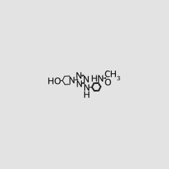 CC(=O)Nc1cccc(Nc2ncnc(N3CCC(O)CC3)n2)c1